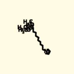 CO[Si](CCCCCCCCCCn1cccc1)(OC)OC